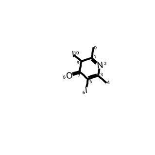 CC1=NC(C)=C(I)C(=O)C1I